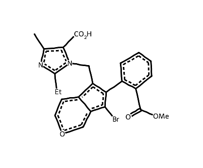 CCc1nc(C)c(C(=O)O)n1Cc1c2ccocc-2c(Br)c1-c1ccccc1C(=O)OC